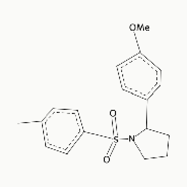 COc1ccc(C2CCCN2S(=O)(=O)c2ccc(C)cc2)cc1